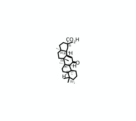 C[C@H]1CC[C@@]2(C)[C@H](CC[C@]3(C)[C@H]2C(=O)C=C2[C@@H]4C[C@@](C)(C(=O)O)CC[C@]4(C)CC[C@]23C)C1(C)C